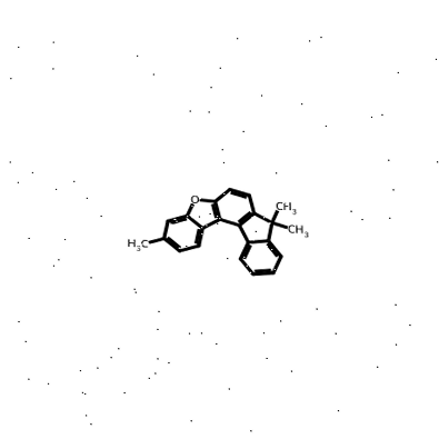 Cc1ccc2c(c1)oc1ccc3c(c12)-c1ccccc1C3(C)C